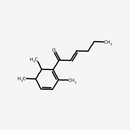 CCCC=CC(=O)C1=C(C)C=CC(C)C1C